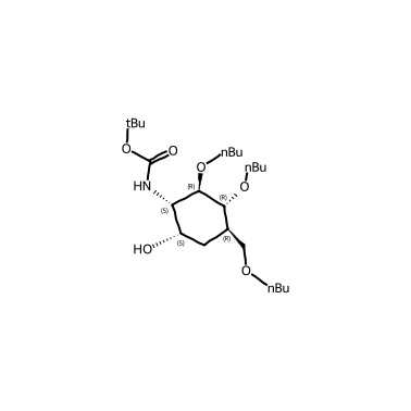 CCCCOC[C@H]1C[C@H](O)[C@H](NC(=O)OC(C)(C)C)[C@@H](OCCCC)[C@@H]1OCCCC